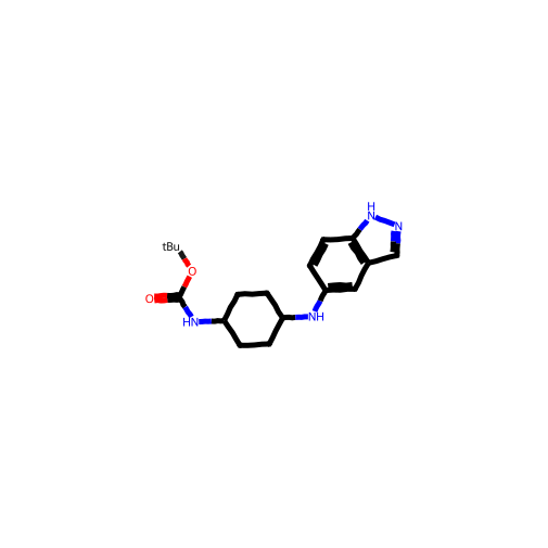 CC(C)(C)OC(=O)NC1CCC(Nc2ccc3[nH]ncc3c2)CC1